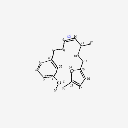 COc1cccc(CC/C=C\C(C)CCc2ccc(C)o2)c1